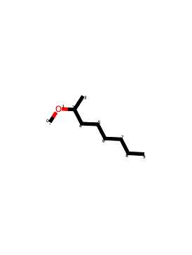 [CH2]OC(C)CCCCCC